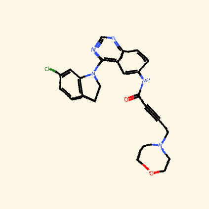 O=C(C#CCN1CCOCC1)Nc1ccc2ncnc(N3CCc4ccc(Cl)cc43)c2c1